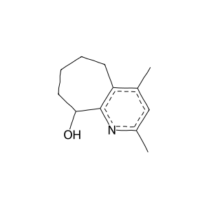 Cc1cc(C)c2c(n1)C(O)CCCC2